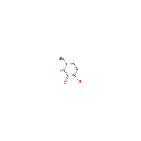 CC(C)(C)c1ccc(O)c(=O)[nH]1